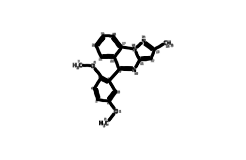 COc1ccc(OC)c(-c2nc3cc(C)nn3c3ccccc23)c1